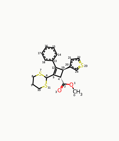 COC(=O)[C@@H]1C(C2SCCCS2)=C(c2ccccc2)[C@H]1c1ccsc1